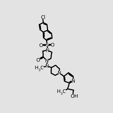 CC(CO)c1cc(N2CCC(N(C)N3CCN(S(=O)(=O)c4ccc5cc(Cl)ccc5c4)CC3=O)CC2)ccn1